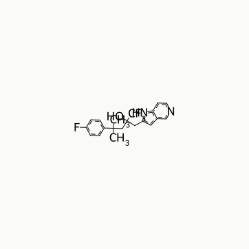 CC(C)(CC(O)(Cc1cc2cnccc2[nH]1)C(F)(F)F)c1ccc(F)cc1